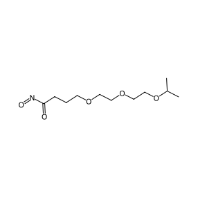 CC(C)OCCOCCOCCCC(=O)N=O